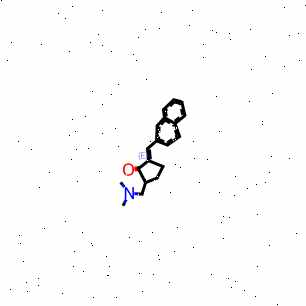 CN(C)CC1CC/C(=C\c2ccc3ccccc3c2)C1=O